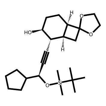 CC(C)(C)[Si](C)(C)O[C@H](C#C[C@H]1[C@@H]2CC3(OCCO3)[C@@H]2CC[C@@H]1O)C1CCCC1